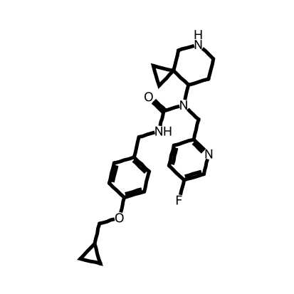 O=C(NCc1ccc(OCC2CC2)cc1)N(Cc1ccc(F)cn1)C1CCNCC12CC2